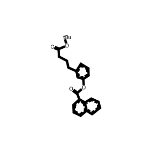 CC(C)(C)OC(=O)CCCc1cccc(OC(=O)c2cccc3ccccc23)c1